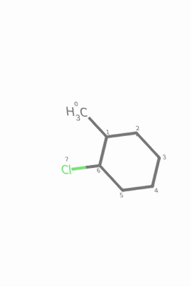 CC1[CH]CCCC1Cl